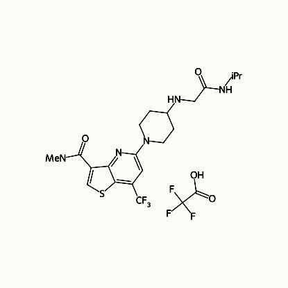 CNC(=O)c1csc2c(C(F)(F)F)cc(N3CCC(NCC(=O)NC(C)C)CC3)nc12.O=C(O)C(F)(F)F